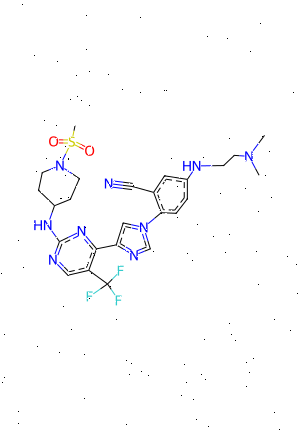 CN(C)CCNc1ccc(-n2cnc(-c3nc(NC4CCN(S(C)(=O)=O)CC4)ncc3C(F)(F)F)c2)c(C#N)c1